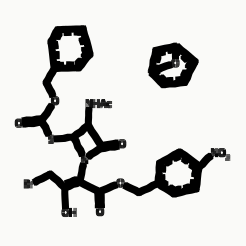 CC(=O)NC1C(=O)N(C(C(=O)OCc2ccc([N+](=O)[O-])cc2)=C(O)CBr)C1SC(=O)OCc1ccccc1.c1cc2cc(c1)O2